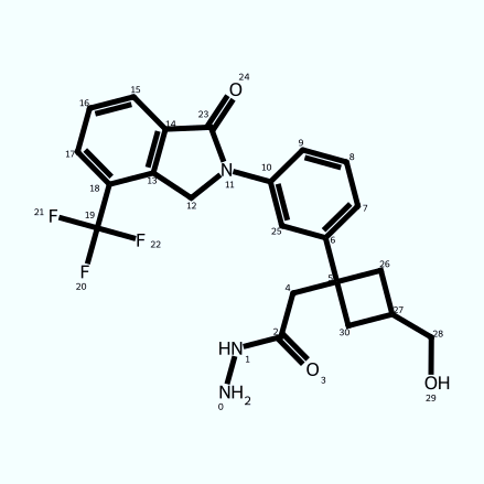 NNC(=O)CC1(c2cccc(N3Cc4c(cccc4C(F)(F)F)C3=O)c2)CC(CO)C1